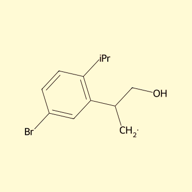 [CH2]C(CO)c1cc(Br)ccc1C(C)C